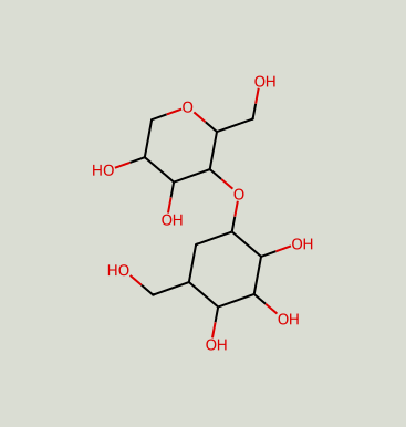 OCC1CC(OC2C(CO)OCC(O)C2O)C(O)C(O)C1O